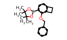 CC1(C)OB(c2ccc3c(c2OCc2ccccc2)CC3)OC1(C)C